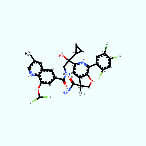 Cc1cnc2c(OC(F)F)cc(C(=O)NCC(O)(c3cc4c(c(-c5cc(Cl)c(F)cc5F)n3)OC[C@]4(C)C(N)=O)C3CC3)cc2c1